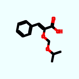 CC(C)OCOC(=Cc1ccccc1)C(=O)O